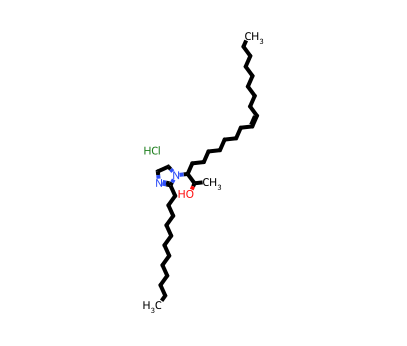 CCCCCCCC/C=C\CCCCCCCC(C(C)O)N1CCN=C1CCCCCCCCCCCC.Cl